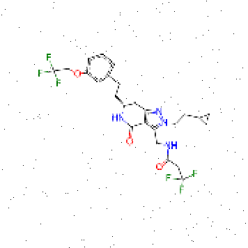 O=C(CC(F)(F)F)NCc1c2c(nn1CCC1CC1)C[C@H](CCc1cccc(OCC(F)(F)F)c1)NC2=O